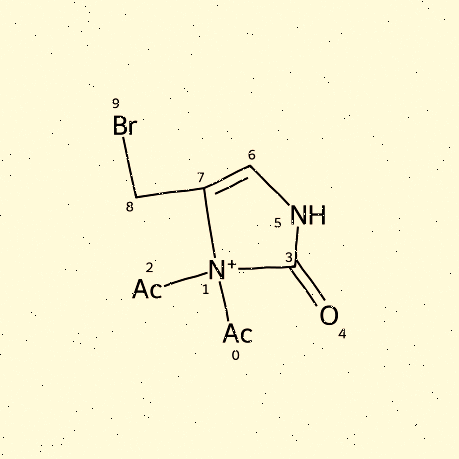 CC(=O)[N+]1(C(C)=O)C(=O)NC=C1CBr